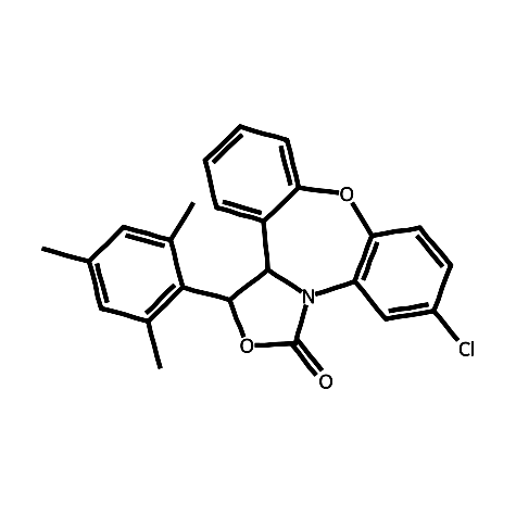 Cc1cc(C)c(C2OC(=O)N3c4cc(Cl)ccc4Oc4ccccc4C23)c(C)c1